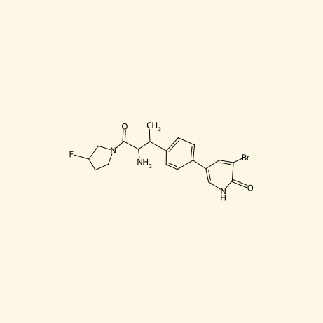 CC(c1ccc(-c2c[nH]c(=O)c(Br)c2)cc1)C(N)C(=O)N1CCC(F)C1